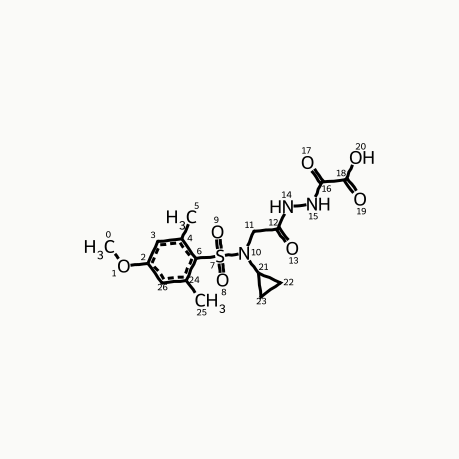 COc1cc(C)c(S(=O)(=O)N(CC(=O)NNC(=O)C(=O)O)C2CC2)c(C)c1